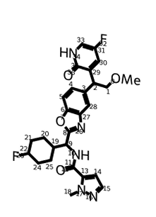 COCC(c1ccc2oc(C(NC(=O)c3ccnn3C)C3CCC(F)CC3)nc2c1)c1cc(F)c[nH]c1=O